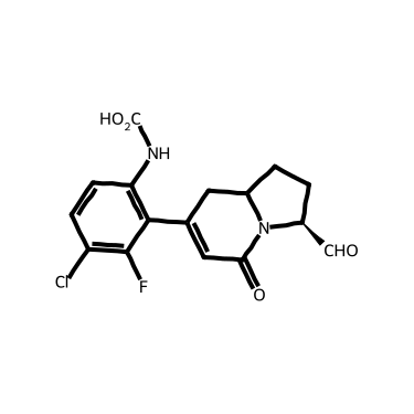 O=C[C@@H]1CCC2CC(c3c(NC(=O)O)ccc(Cl)c3F)=CC(=O)N21